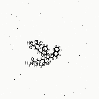 NC(=O)NCCCC(NC(=O)C(Cc1ccc2ccccc2c1)NC(=O)C1CCCCN1C(=O)CC(CCC(=O)O)NC(=O)CCl)C(N)=O